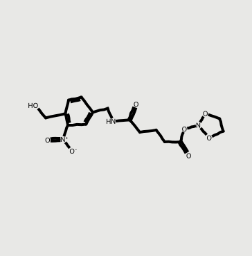 O=C(CCCC(=O)ON1OCCO1)NCc1ccc(CO)c([N+](=O)[O-])c1